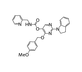 COc1ccc(COc2nc(N3CCc4ccccc43)ncc2OC(=O)NCc2ccccn2)cc1